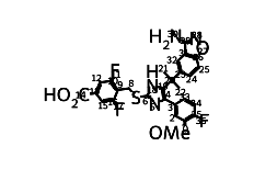 COc1cc(-c2nc(SCc3c(F)cc(C(=O)O)cc3F)[nH]c2C(C)(C)c2ccc3onc(N)c3c2)ccc1F